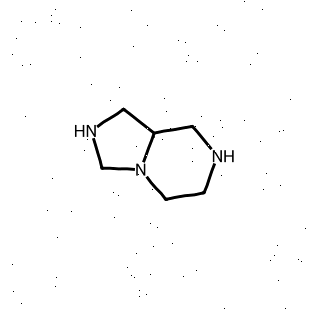 C1CN2CNC[C]2CN1